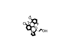 COc1ccc(F)c([C@H]2O[C@H](CCO)c3cccn3-c3ccc(Cl)cc32)c1OC